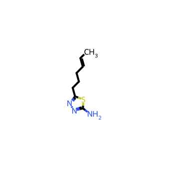 CC=CCCCc1nnc(N)s1